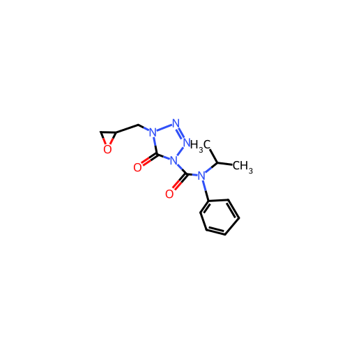 CC(C)N(C(=O)n1nnn(CC2CO2)c1=O)c1ccccc1